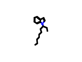 CCCCCCCC(CC)n1ccc2ccccc21